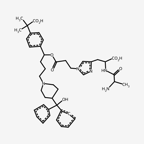 CC(N)C(=O)NC(Cc1cn(CCC(=O)OC(CCCN2CCC(C(O)(c3ccccc3)c3ccccc3)CC2)c2ccc(C(C)(C)C(=O)O)cc2)cn1)C(=O)O